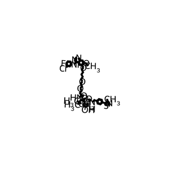 COc1cc2ncnc(Nc3ccc(F)c(Cl)c3)c2cc1OCCCCCOCCOCCC(=O)N[C@H](C(=O)N1C[C@H](O)C[C@H]1C(=O)NCc1ccc(-c2scnc2C)cc1)C(C)(C)C